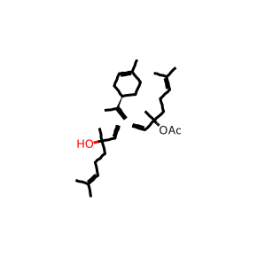 C=C(C)[C@H]1CC=C(C)CC1.C=CC(C)(CCC=C(C)C)OC(C)=O.C=CC(C)(O)CCC=C(C)C